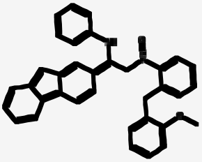 COc1ccccc1Cc1ccccc1[PH](=O)CC(Nc1ccccc1)=c1ccc2c(c1)C=c1ccccc1=2